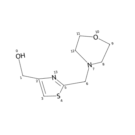 OCc1csc(CN2CCOCC2)n1